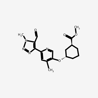 COC(=O)[C@H]1CCC[C@H](Oc2cnc(-c3nnn(C)c3C=O)cc2C)C1